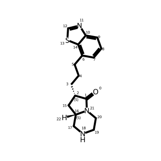 O=C1[C@@H](CCCc2cccc3ncsc23)C[C@H]2CNCCN12